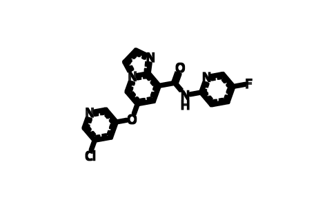 O=C(Nc1ccc(F)cn1)c1cc(Oc2cncc(Cl)c2)cn2ccnc12